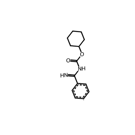 N=C(NC(=O)OC1CCCCC1)c1cc[c]cc1